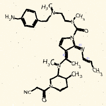 C/C=C/N=C1\C(=C(/C)N(C)C2CN(C(=O)CC#N)CCC2C)C=CN1C(=O)N(C)CCN(C)Cc1ccc(N)cc1